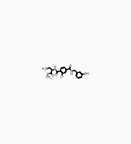 COC(=O)C(CN)NC(=O)c1ccc(C(=O)NCc2cccc(O)c2)cc1Cl